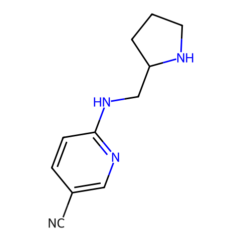 N#Cc1ccc(NCC2CCCN2)nc1